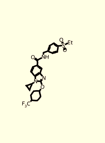 CCS(=O)(=O)c1ccc(CNC(=O)c2ccc3c(c2)nc(OC2CCC(C(F)(F)F)CC2)n3C2CC2)cc1